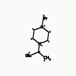 CC(C)N1CCN(C(C)C(C)(C)C)CC1